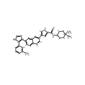 Cc1cccc(-c2[nH]cnc2-c2ccc3ncc(-c4csc(C(=O)OC5CCC(C)(N)CC5)c4)cc3c2)n1